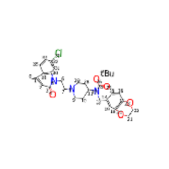 Cc1cc(=O)n(CCN2CCC(N(Cc3ccc4c(c3)OCCO4)C(=O)OC(C)(C)C)CC2)c2cc(Cl)ccc12